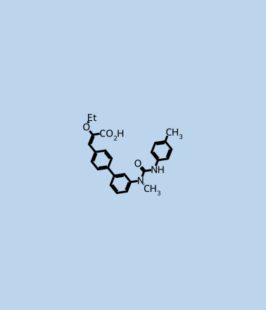 CCO/C(=C/c1ccc(-c2cccc(N(C)C(=O)Nc3ccc(C)cc3)c2)cc1)C(=O)O